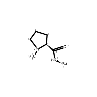 CC[C@H](C)NC(=O)[C@@H]1CCCN1C